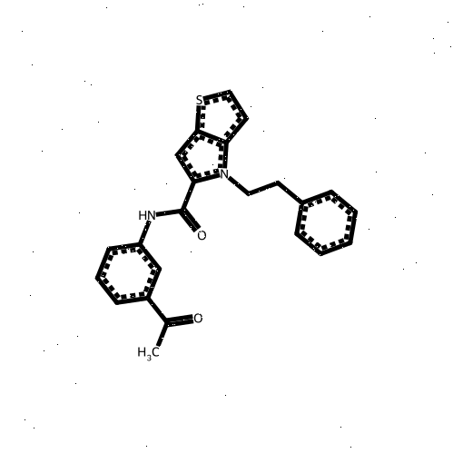 CC(=O)c1cccc(NC(=O)c2cc3sccc3n2CCc2ccccc2)c1